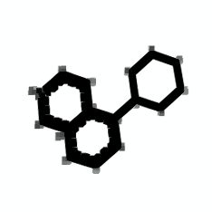 c1cc(C2CCCCC2)c2ccncc2c1